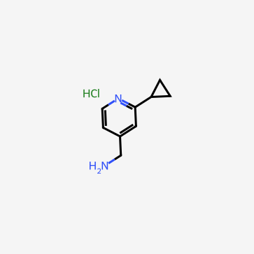 Cl.NCc1ccnc(C2CC2)c1